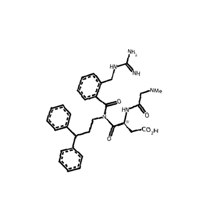 CNCC(=O)N[C@@H](CC(=O)O)C(=O)N(CCC(c1ccccc1)c1ccccc1)C(=O)c1ccccc1CNC(=N)N